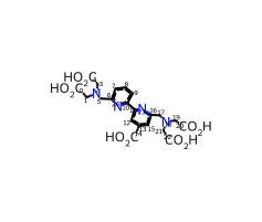 O=C(O)CN(CC(=O)O)Cc1cccc(-c2cc(C(=O)O)cc(CN(CC(=O)O)CC(=O)O)n2)n1